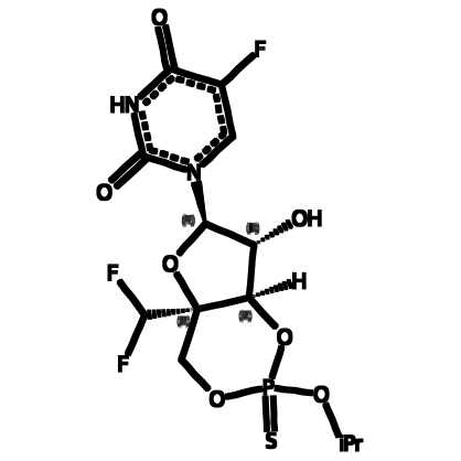 CC(C)OP1(=S)OC[C@@]2(C(F)F)O[C@@H](n3cc(F)c(=O)[nH]c3=O)[C@H](O)[C@H]2O1